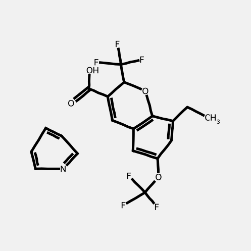 CCc1cc(OC(F)(F)F)cc2c1OC(C(F)(F)F)C(C(=O)O)=C2.c1ccncc1